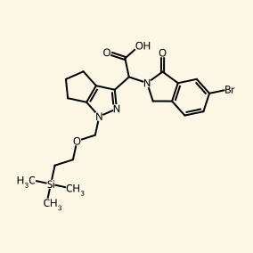 C[Si](C)(C)CCOCn1nc(C(C(=O)O)N2Cc3ccc(Br)cc3C2=O)c2c1CCC2